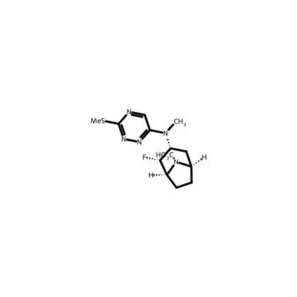 CSc1ncc(N(C)[C@@H]2C[C@H]3CC[C@@H]([C@@H]2F)N3C(=O)O)nn1